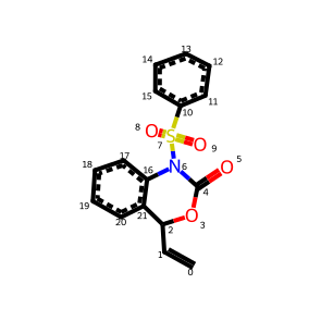 C=CC1OC(=O)N(S(=O)(=O)c2ccccc2)c2ccccc21